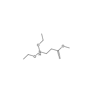 CCO[SiH](CCC(=S)OC)OCC